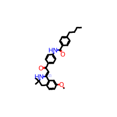 CCCCc1ccc(C(=O)Nc2ccc(C(=O)/C=C3\NC(C)(C)Cc4ccc(OC)cc43)cc2)cc1